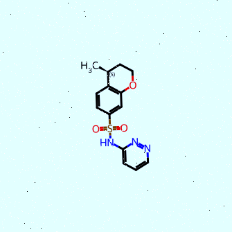 C[C@H]1CCOc2cc(S(=O)(=O)Nc3cccnn3)ccc21